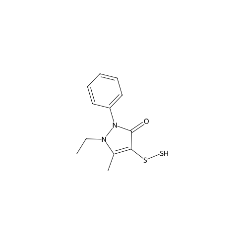 CCn1c(C)c(SS)c(=O)n1-c1ccccc1